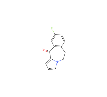 O=C1c2cc(F)ccc2CCn2cccc21